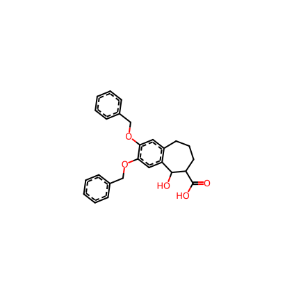 O=C(O)C1CCCc2cc(OCc3ccccc3)c(OCc3ccccc3)cc2C1O